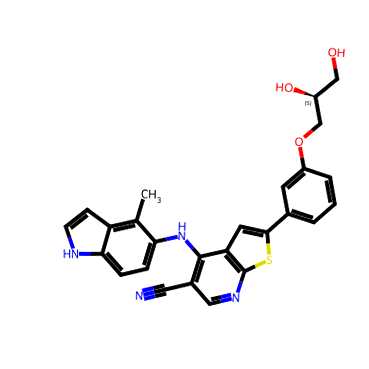 Cc1c(Nc2c(C#N)cnc3sc(-c4cccc(OC[C@@H](O)CO)c4)cc23)ccc2[nH]ccc12